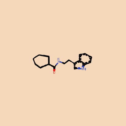 O=C(NCCc1c[nH]c2ccccc12)C1CCCCC1